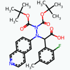 Cc1ccc(F)c(C(C(=O)O)N(c2ccc3cnccc3c2)N(C(=O)OC(C)(C)C)C(=O)OC(C)(C)C)c1